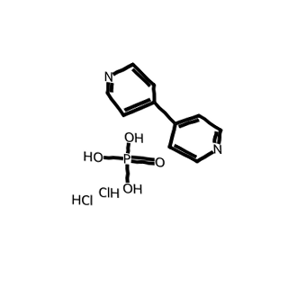 Cl.Cl.O=P(O)(O)O.c1cc(-c2ccncc2)ccn1